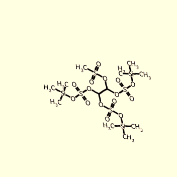 C[Si](C)(C)OS(=O)(=O)OC(OS(C)(=O)=O)C(OS(=O)(=O)O[Si](C)(C)C)OS(=O)(=O)O[Si](C)(C)C